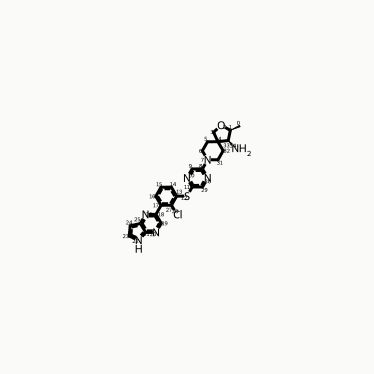 C[C@@H]1OCC2(CCN(c3cnc(Sc4cccc(-c5cnc6[nH]ccc6n5)c4Cl)cn3)CC2)[C@@H]1N